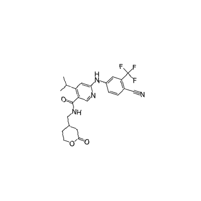 CC(C)c1cc(Nc2ccc(C#N)c(C(F)(F)F)c2)ncc1C(=O)NCC1CCOC(=O)C1